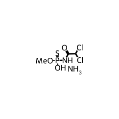 CO[P@](O)(=S)NC(=O)C(Cl)Cl.N